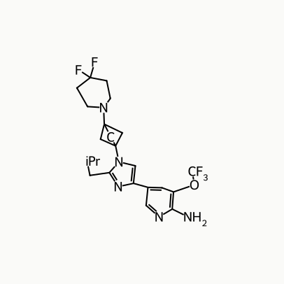 CC(C)Cc1nc(-c2cnc(N)c(OC(F)(F)F)c2)cn1C12CC(N3CCC(F)(F)CC3)(C1)C2